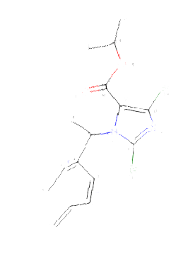 C=C/C=C\C(=C/C)C(C)n1c(Br)nc(Br)c1C(=O)OC(C)C